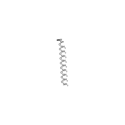 C=C[SiH](C)O[SiH2]O[SiH2]O[SiH2]O[SiH2]O[SiH2]O[SiH2]O[SiH2]O[SiH2]O[SiH3]